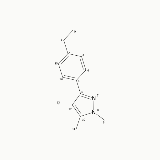 CCc1ccc(-c2nn(C)c(C)c2C)cc1